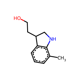 Cc1cccc2c1NCC2CCO